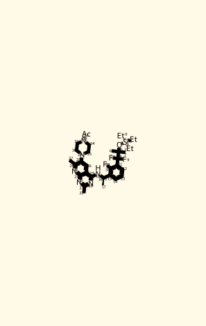 CC[Si](CC)(CC)OC(C)(C)C(F)(F)c1cccc([C@@H](C)Nc2nc(C)nc3nc(C)c(N4CCN(C(C)=O)CC4)cc23)c1F